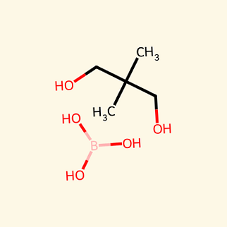 CC(C)(CO)CO.OB(O)O